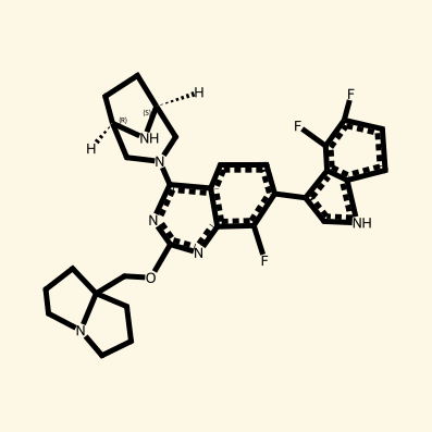 Fc1ccc2[nH]cc(-c3ccc4c(N5C[C@H]6CC[C@@H](C5)N6)nc(OCC56CCCN5CCC6)nc4c3F)c2c1F